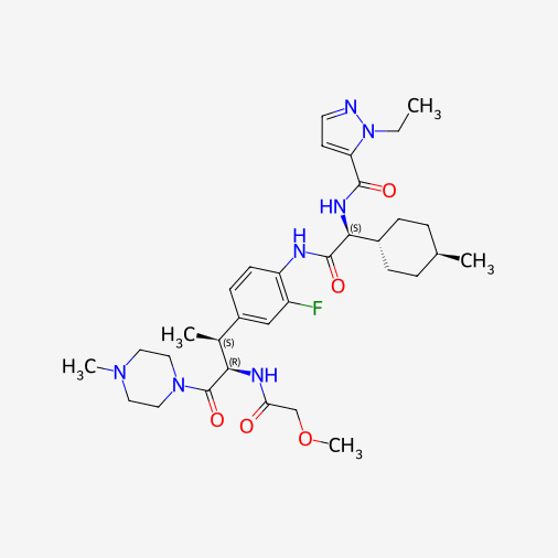 CCn1nccc1C(=O)N[C@H](C(=O)Nc1ccc([C@H](C)[C@@H](NC(=O)COC)C(=O)N2CCN(C)CC2)cc1F)[C@H]1CC[C@H](C)CC1